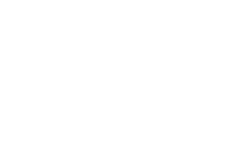 CCCOCCCCOCCCC[S]